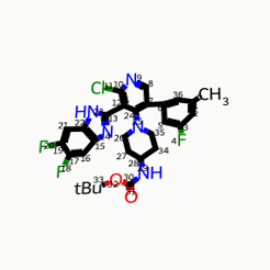 Cc1cc(F)cc(-c2cnc(Cl)c(-c3nc4cc(F)c(F)cc4[nH]3)c2N2CCC(NC(=O)OC(C)(C)C)CC2)c1